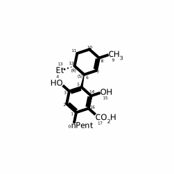 CCCCCc1cc(O)c([C@@H]2C=C(C)CC[C@H]2CC)c(O)c1C(=O)O